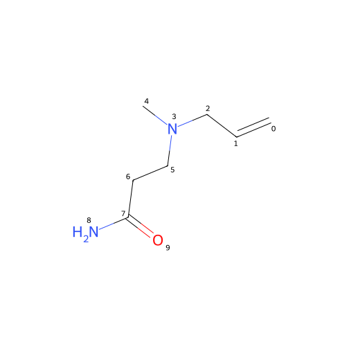 C=CCN(C)CCC(N)=O